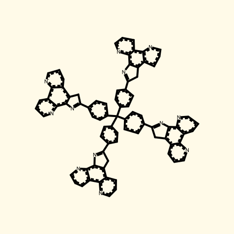 c1cnc2c(c1)c1c(c3ncccc32)N=C(c2ccc(C(c3ccc(C4=Nc5c(c6cccnc6c6cccnc56)C4)cc3)(c3ccc(C4=Nc5c(c6cccnc6c6cccnc56)C4)cc3)c3ccc(C4=Nc5c(c6cccnc6c6cccnc56)C4)cc3)cc2)C1